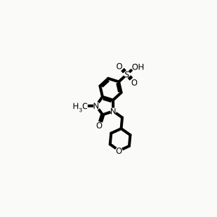 Cn1c(=O)n(CC2CCOCC2)c2cc(S(=O)(=O)O)ccc21